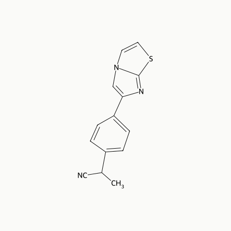 CC(C#N)c1ccc(-c2cn3ccsc3n2)cc1